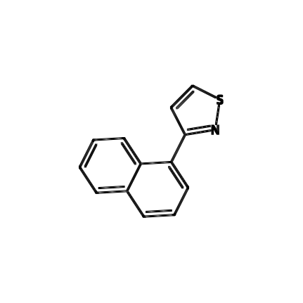 c1ccc2c(-c3ccsn3)cccc2c1